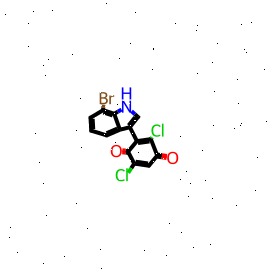 O=C1C=C(Cl)C(=O)C(c2c[nH]c3c(Br)cccc23)=C1Cl